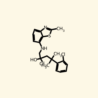 Cc1nc2cccc(NCC(O)(CC(C)(C)c3ccccc3Cl)C(F)(F)F)c2s1